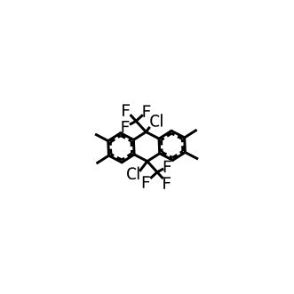 Cc1cc2c(cc1C)C(Cl)(C(F)(F)F)c1cc(C)c(C)cc1C2(Cl)C(F)(F)F